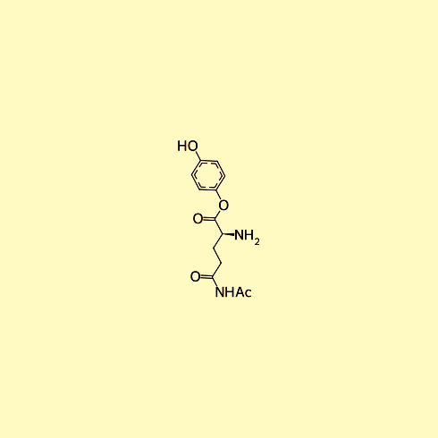 CC(=O)NC(=O)CC[C@H](N)C(=O)Oc1ccc(O)cc1